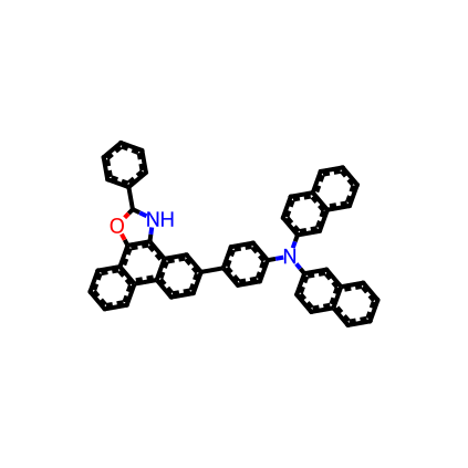 c1ccc(C2Nc3c(c4ccccc4c4ccc(-c5ccc(N(c6ccc7ccccc7c6)c6ccc7ccccc7c6)cc5)cc34)O2)cc1